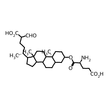 C[C@H](CCC(C=O)C(=O)O)C1CCC2C3CCC4CC(OC(=O)[C@@H](N)CCC(=O)O)CC[C@]4(C)C3CCC21C